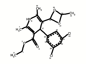 CCOC(=O)C1=C(C)NC(C)=C(C2OC(C)O2)C1c1cc(Cl)cc(Cl)c1